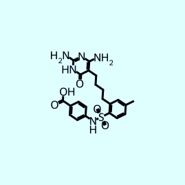 Cc1ccc(S(=O)(=O)Nc2ccc(C(=O)O)cc2)c(CCCCc2c(N)nc(N)[nH]c2=O)c1